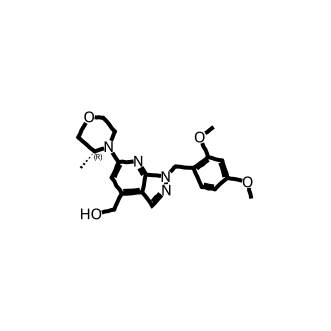 COc1ccc(Cn2ncc3c(CO)cc(N4CCOC[C@H]4C)nc32)c(OC)c1